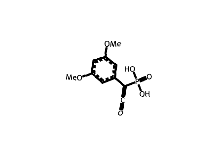 COc1cc(OC)cc(C(=C=O)P(=O)(O)O)c1